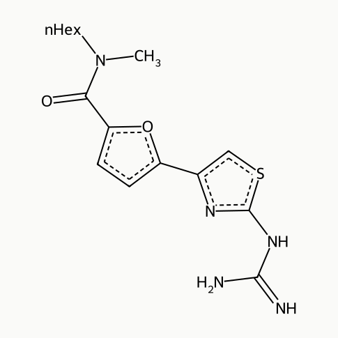 CCCCCCN(C)C(=O)c1ccc(-c2csc(NC(=N)N)n2)o1